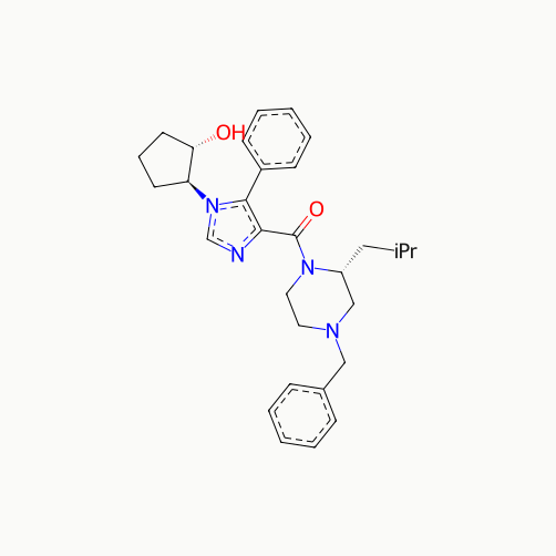 CC(C)C[C@@H]1CN(Cc2ccccc2)CCN1C(=O)c1ncn([C@H]2CCC[C@@H]2O)c1-c1ccccc1